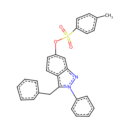 Cc1ccc(S(=O)(=O)Oc2ccc3c(Cc4ccccc4)n(-c4ccccc4)nc3c2)cc1